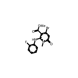 COC(=O)c1c(Br)cc(=O)n(C)c1Nc1ccccc1F